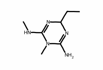 CCC1N=C(N)N(C)C(NC)=N1